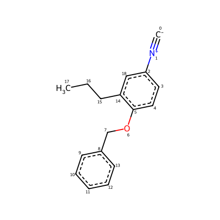 [C-]#[N+]c1ccc(OCc2ccccc2)c(CCC)c1